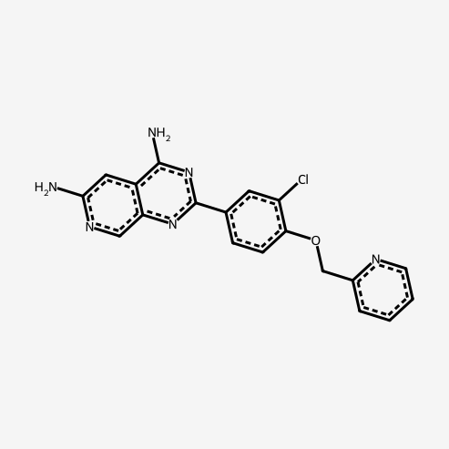 Nc1cc2c(N)nc(-c3ccc(OCc4ccccn4)c(Cl)c3)nc2cn1